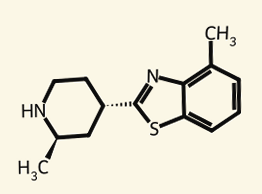 Cc1cccc2sc([C@H]3CCN[C@H](C)C3)nc12